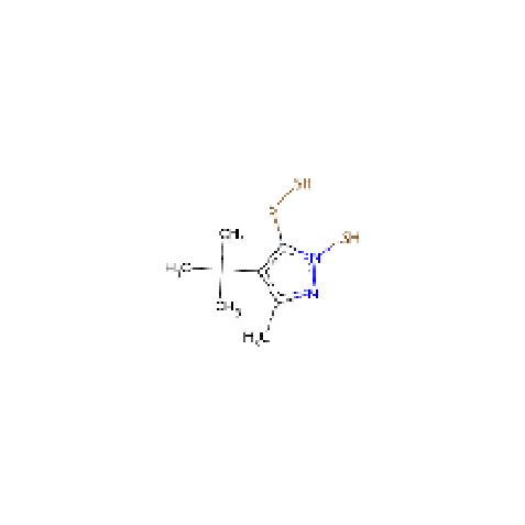 Cc1nn(S)c(SS)c1C(C)(C)C